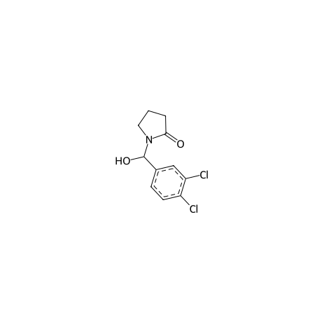 O=C1CCCN1C(O)c1ccc(Cl)c(Cl)c1